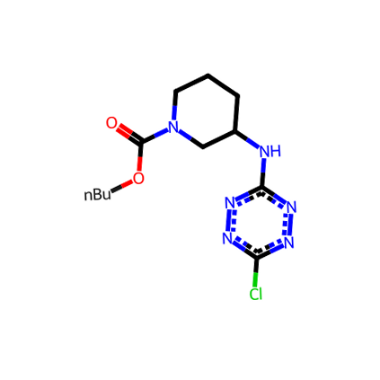 CCCCOC(=O)N1CCCC(Nc2nnc(Cl)nn2)C1